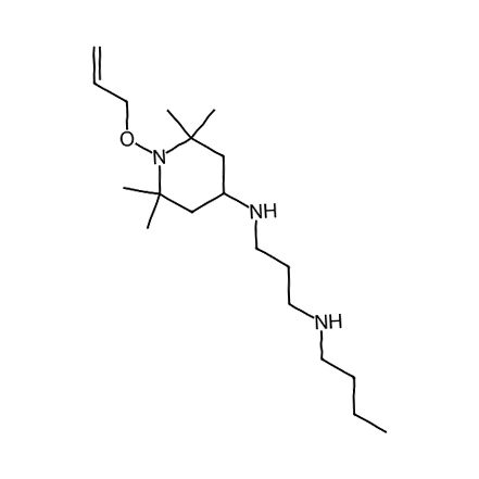 C=CCON1C(C)(C)CC(NCCCNCCCC)CC1(C)C